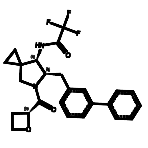 O=C([C@H]1CCO1)N1CC2(CC2)[C@H](NC(=O)C(F)(F)F)[C@@H]1Cc1cccc(-c2ccccc2)c1